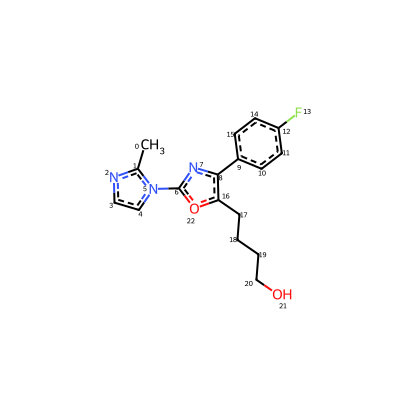 Cc1nccn1-c1nc(-c2ccc(F)cc2)c(CCCCO)o1